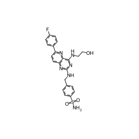 NS(=O)(=O)c1ccc(CNc2nc(NCCO)c3nc(-c4ccc(F)cc4)ccc3n2)cc1